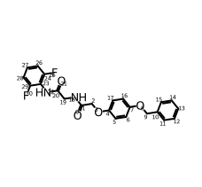 O=C(COc1ccc(OCc2ccccc2)cc1)NCC(=O)Nc1c(F)cccc1F